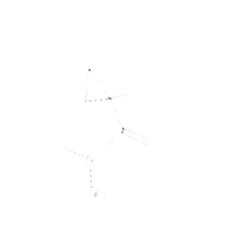 CCCN(CC)C(=O)C1(C(=O)O)CC1